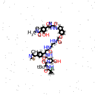 Cc1ncsc1-c1ccc(C(CC(=O)NCCCNC(=O)COc2ccc3c(c2)[C@H](NC(=O)c2cc(-c4ccc(C(=O)N(C)C)c(O)c4)on2)CC3)NC(=O)[C@@H]2C[C@@H](O)CN2C(=O)C(NC(=O)C2(F)CC2)C(C)(C)C)cc1